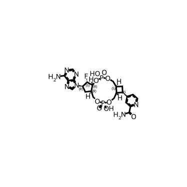 NC(=O)c1cc([C@@H]2C[C@@H]3COP(=O)(O)O[C@@H]4[C@@H](COP(=O)(O)OC[C@H]32)C[C@@H](n2cnc3c(N)ncnc32)[C@@H]4F)ccn1